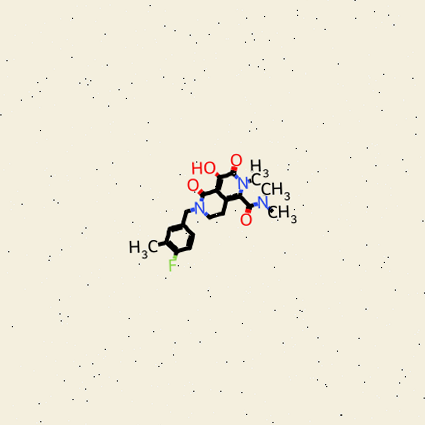 Cc1cc(CN2CCc3c(c(O)c(=O)n(C)c3C(=O)N(C)C)C2=O)ccc1F